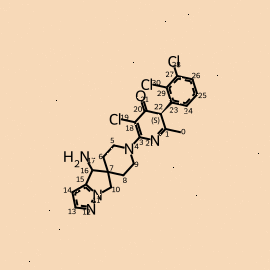 CC1=NC(N2CCC3(CC2)Cn2nccc2C3N)=C(Cl)C(=O)[C@H]1c1cccc(Cl)c1Cl